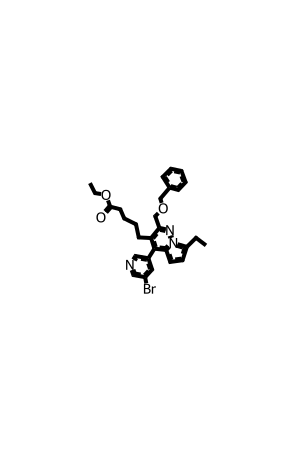 CCOC(=O)CCCCc1c(COCc2ccccc2)nn2c(CC)ccc2c1-c1cncc(Br)c1